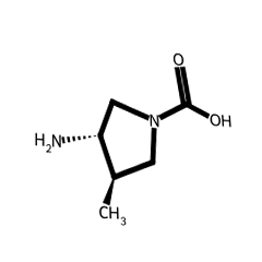 C[C@@H]1CN(C(=O)O)C[C@H]1N